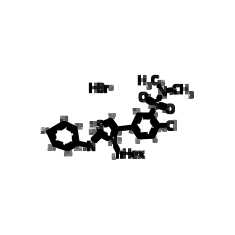 Br.CCCCCCn1c(-c2ccc(Cl)c(S(=O)(=O)N(C)C)c2)csc1=Nc1ccccc1